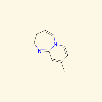 CC1=CC2=NCCC=CN2C=C1